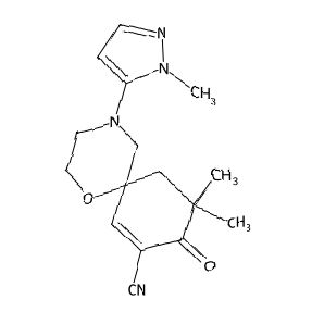 Cn1nccc1N1CCOC2(C=C(C#N)C(=O)C(C)(C)C2)C1